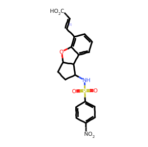 O=C(O)/C=C/c1cccc2c1OC1CCC(NS(=O)(=O)c3ccc([N+](=O)[O-])cc3)C21